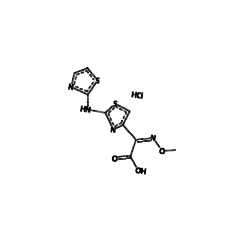 CON=C(C(=O)O)c1csc(Nc2nccs2)n1.Cl